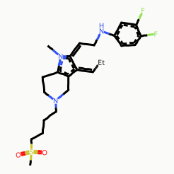 CC/C=c1/c2c(n(C)/c1=C/CNc1ccc(F)c(F)c1)CCN(CCCCS(C)(=O)=O)C2